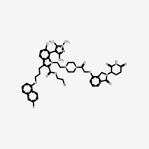 Cc1nn(C)c(C)c1-c1c(Cl)ccc2c(CCCOc3cccc4cc(F)ccc34)c(C(=O)OCCBr)n(CCN3CCN(C(=O)COc4cccc5c4CN(C4CCC(=O)NC4=O)C5=O)CC3)c12